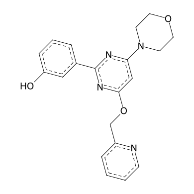 Oc1cccc(-c2nc(OCc3ccccn3)cc(N3CCOCC3)n2)c1